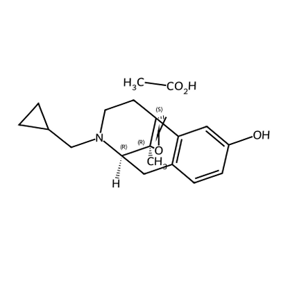 CC(=O)O.C[C@@]12OCCC[C@@]13CCN(CC1CC1)[C@@H]2Cc1ccc(O)cc13